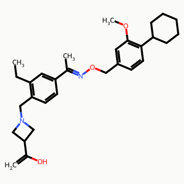 C=C(O)C1CN(Cc2ccc(/C(C)=N/OCc3ccc(C4CCCCC4)c(OC)c3)cc2CC)C1